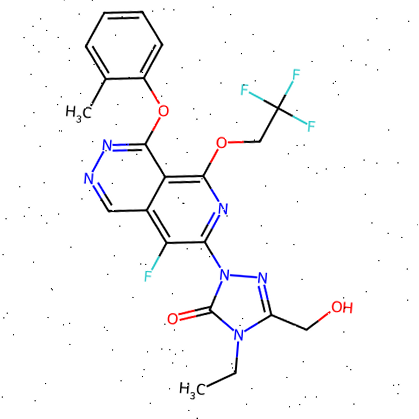 CCn1c(CO)nn(-c2nc(OCC(F)(F)F)c3c(Oc4ccccc4C)nncc3c2F)c1=O